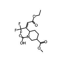 CCOC(=O)/C=C(\C1CCC(C(=O)OC)CN1C(=O)O)C(F)(F)F